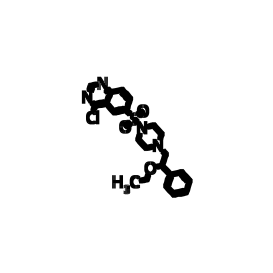 CCOC(CN1CCN(S(=O)(=O)c2ccc3ncnc(Cl)c3c2)CC1)c1ccccc1